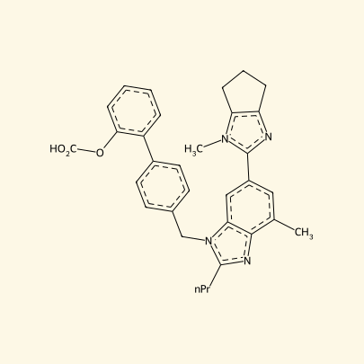 CCCc1nc2c(C)cc(-c3nc4c(n3C)CCC4)cc2n1Cc1ccc(-c2ccccc2OC(=O)O)cc1